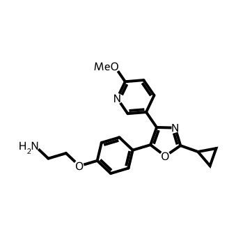 COc1ccc(-c2nc(C3CC3)oc2-c2ccc(OCCN)cc2)cn1